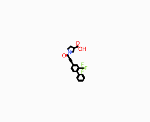 O=C(O)C1CCN(C(=O)C#Cc2ccc(-c3ccccc3)c(C(F)(F)F)c2)C1